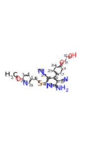 COc1ccc(CSc2nc(N)c(C#N)c(-c3ccc(OCCO)cc3)c2C#N)cn1